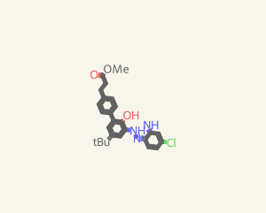 COC(=O)CCc1ccc(-c2cc(C(C)(C)C)cc(N/N=C3/C=CC(Cl)=CC3=N)c2O)cc1